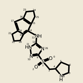 O=S(=O)(CC1CCCN1)c1n[nH]c(Nc2c3c(cc4c2CCC4)CCC3)n1